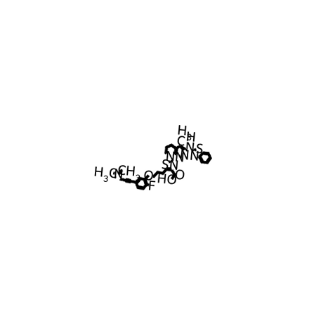 Cc1c(Nc2nc3ccccc3s2)nnc2c1CCCN2c1nc(C(=O)O)c(CCCOc2cc(C#CCN(C)C)ccc2F)s1